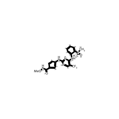 CONC(=O)c1ccc(Nc2ncc(C(F)(F)F)c(Nc3ccccc3P(C)(C)=O)n2)cc1